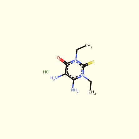 CCn1c(N)c(N)c(=O)n(CC)c1=S.Cl